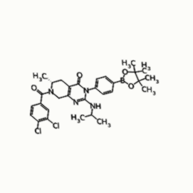 CC(C)Nc1nc2c(c(=O)n1-c1ccc(B3OC(C)(C)C(C)(C)O3)cc1)C[C@@H](C)N(C(=O)c1ccc(Cl)c(Cl)c1)C2